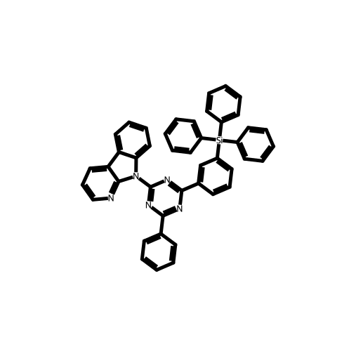 c1ccc(-c2nc(-c3cccc([Si](c4ccccc4)(c4ccccc4)c4ccccc4)c3)nc(-n3c4ccccc4c4cccnc43)n2)cc1